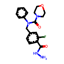 NNC(=O)c1ccc(CN(C(=O)N2CCOCC2)c2ccccc2)cc1F